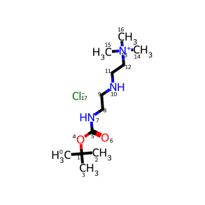 CC(C)(C)OC(=O)NCCNCC[N+](C)(C)C.[Cl-]